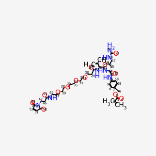 CC(C)C(=O)OCc1ccc(NC(=O)[C@@H](CCCNC(N)=O)NC(=O)[C@H](NC(=O)CCOCCOCCOCCOCCNC(=O)CCN2C(=O)C=CC2=O)C(C)C)cc1